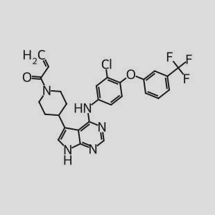 C=CC(=O)N1CCC(c2c[nH]c3ncnc(Nc4ccc(Oc5cccc(C(F)(F)F)c5)c(Cl)c4)c23)CC1